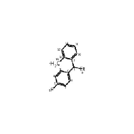 [CH2]CC(c1ccc(F)cc1)c1ccccc1[CH2]